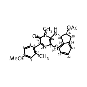 CCc1nc(-c2ccc(OC)cc2C)c(=O)n(C)c1N[C@H]1c2ccccc2C[C@@H]1OC(C)=O